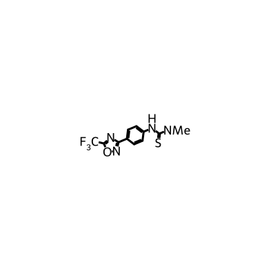 CNC(=S)Nc1ccc(-c2noc(C(F)(F)F)n2)cc1